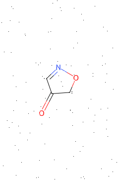 O=C1[C]ON=[C]1